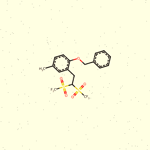 Cc1ccc(OCc2ccccc2)c(CC(S(=O)(=O)C(F)(F)F)S(=O)(=O)C(F)(F)F)c1